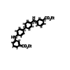 CCOC(=O)c1cccc(Nc2ccc(-c3ccc(Nc4cccc(C(=O)OCC)c4)cc3)cc2)c1